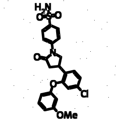 COc1cccc(Oc2cc(Cl)ccc2C2CC(=O)N(c3ccc(S(N)(=O)=O)cc3)C2)c1